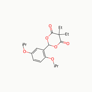 CCC1(CC)C(=O)OC(c2cc(OC(C)C)ccc2OC(C)C)OC1=O